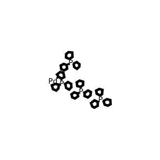 [Pd][c]1ccccc1P(c1ccccc1)c1ccccc1.c1ccc(P(c2ccccc2)c2ccccc2)cc1.c1ccc(P(c2ccccc2)c2ccccc2)cc1.c1ccc(P(c2ccccc2)c2ccccc2)cc1